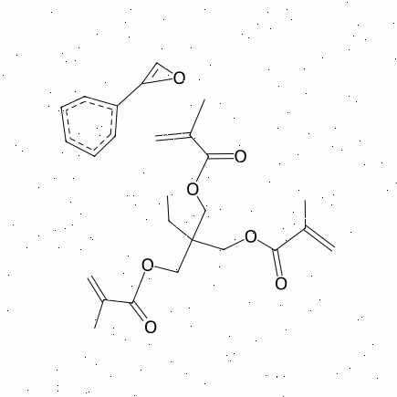 C1=C(c2ccccc2)O1.C=C(C)C(=O)OCC(CC)(COC(=O)C(=C)C)COC(=O)C(=C)C